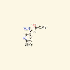 COC(=O)C[C@H](N)c1ccc(C=O)nc1